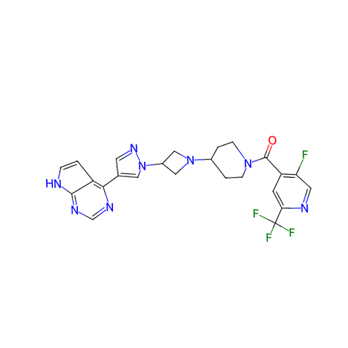 O=C(c1cc(C(F)(F)F)ncc1F)N1CCC(N2CC(n3cc(-c4ncnc5[nH]ccc45)cn3)C2)CC1